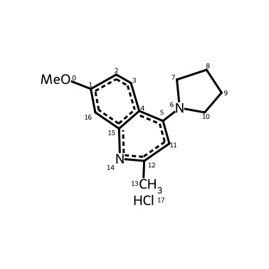 COc1ccc2c(N3CCCC3)cc(C)nc2c1.Cl